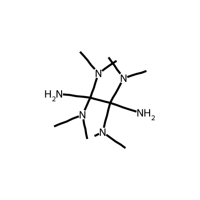 CN(C)C(N)(N(C)C)C(N)(N(C)C)N(C)C